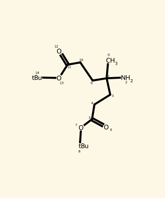 CC(N)(CCC(=O)OC(C)(C)C)CCC(=O)OC(C)(C)C